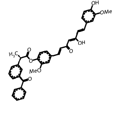 COc1cc(/C=C/C(O)=C/C(=O)/C=C/c2ccc(OC(=O)[C@H](C)c3cccc(C(=O)c4ccccc4)c3)c(OC)c2)ccc1O